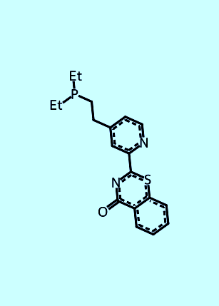 CCP(CC)CCc1ccnc(-c2nc(=O)c3ccccc3s2)c1